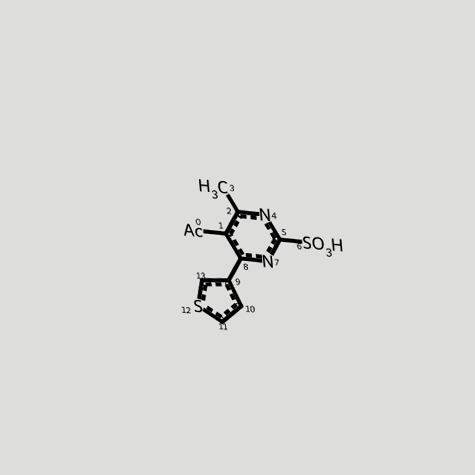 CC(=O)c1c(C)nc(S(=O)(=O)O)nc1-c1ccsc1